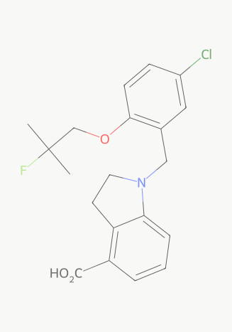 CC(C)(F)COc1ccc(Cl)cc1CN1CCc2c(C(=O)O)cccc21